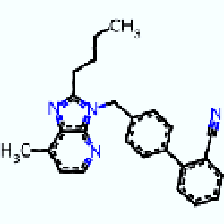 CCCCc1nc2c(C)ccnc2n1Cc1ccc(-c2ccccc2C#N)cc1